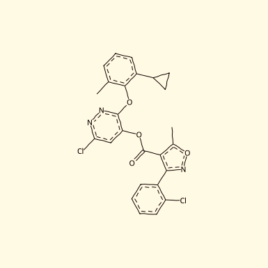 Cc1cccc(C2CC2)c1Oc1nnc(Cl)cc1OC(=O)c1c(-c2ccccc2Cl)noc1C